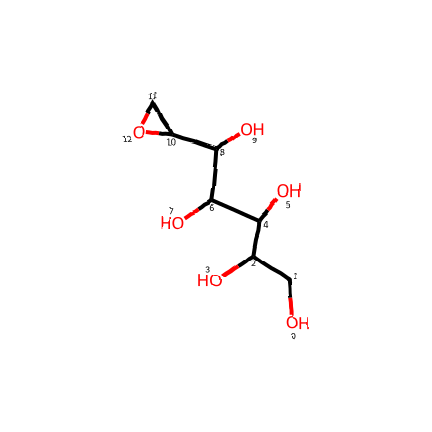 OCC(O)C(O)C(O)C(O)C1CO1